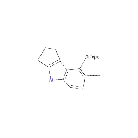 CCCCCCCc1c(C)ccc2c1C1=C(CCC1)[N]2